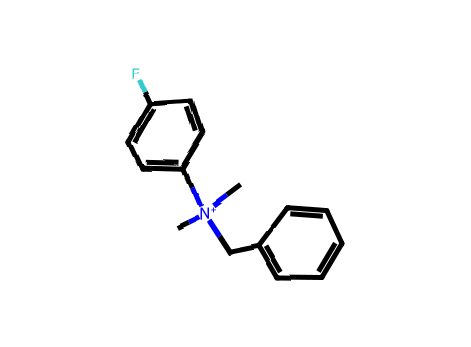 C[N+](C)(Cc1ccccc1)c1ccc(F)cc1